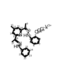 CC(=NNc1ccccc1)c1cc(C)cc(C(C)=NNc2ccccc2)n1.[Cl-].[Cl-].[Cl-].[V+3]